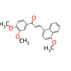 COc1ccc(C(=O)/C=C/c2ccc(OC)c3ccccc23)cc1OC